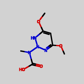 COC1=CC(OC)=NN(N(C)C(=O)O)N1